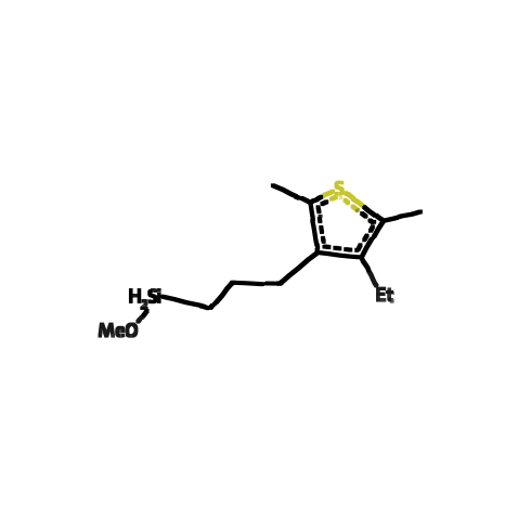 CCc1c(C)sc(C)c1CCC[SiH2]OC